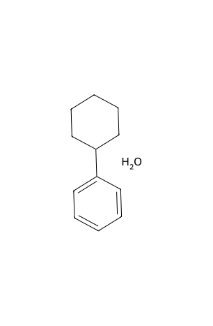 O.c1ccc(C2CCCCC2)cc1